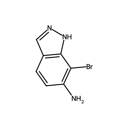 Nc1ccc2cn[nH]c2c1Br